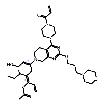 C=CC(=O)N1CCN(c2nc(OCCCN3CCSCC3)nc3c2CCN(/C(=C/CO)C/C(=C(\C=C)SC(=C)C)C(C)CC)C3)CC1